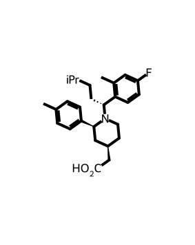 Cc1ccc([C@@H]2C[C@H](CC(=O)O)CCN2[C@H](CCC(C)C)c2ccc(F)cc2C)cc1